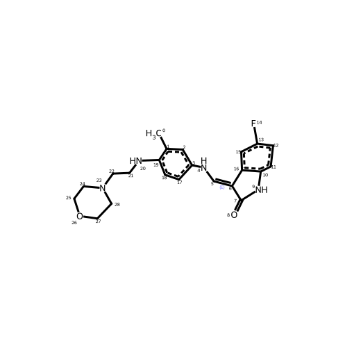 Cc1cc(N/C=C2/C(=O)Nc3ccc(F)cc32)ccc1NCCN1CCOCC1